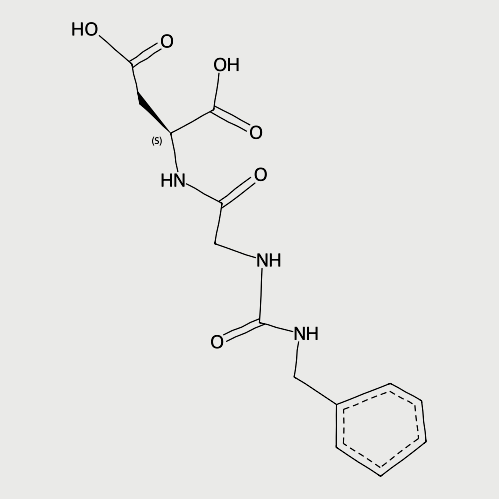 O=C(O)C[C@H](NC(=O)CNC(=O)NCc1ccccc1)C(=O)O